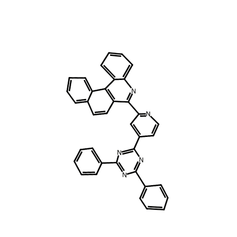 c1ccc(-c2nc(-c3ccccc3)nc(-c3ccnc(-c4nc5ccccc5c5c4ccc4ccccc45)c3)n2)cc1